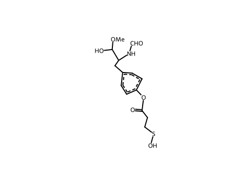 COC(O)C(Cc1ccc(OC(=O)CCSO)cc1)NC=O